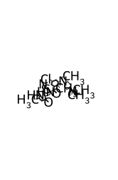 CCN(c1cc(Cl)cc(C(=O)NCc2c(-c3cncs3)[nH]c(C)cc2=O)c1C)[C@H]1CC[C@H](N(C)C)CC1